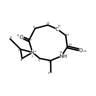 CC1C[N+]2(CC2C)C(=O)CCCCC(=O)N1